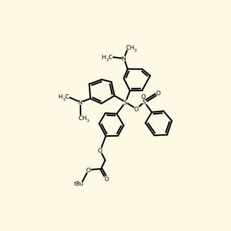 CN(C)c1cccc(S(OS(=O)(=O)c2ccccc2)(c2ccc(OCC(=O)OC(C)(C)C)cc2)c2cccc(N(C)C)c2)c1